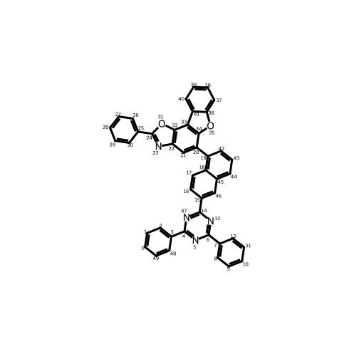 c1ccc(-c2nc(-c3ccccc3)nc(-c3ccc4c(-c5cc6nc(-c7ccccc7)oc6c6c5oc5ccccc56)cccc4c3)n2)cc1